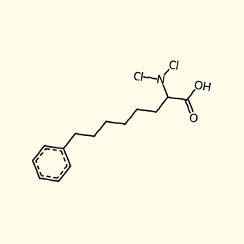 O=C(O)C(CCCCCCc1ccccc1)N(Cl)Cl